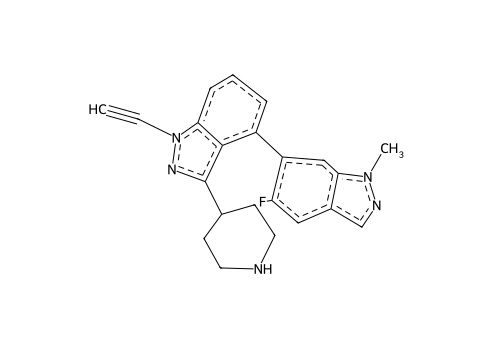 C#Cn1nc(C2CCNCC2)c2c(-c3cc4c(cnn4C)cc3F)cccc21